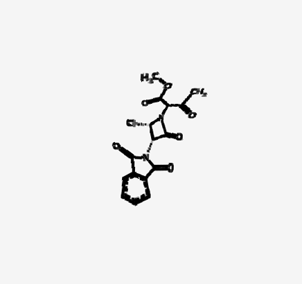 COC(=O)C(C(C)=O)N1C(=O)[C@H](N2C(=O)c3ccccc3C2=O)[C@@H]1Cl